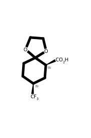 O=C(O)[C@H]1C[C@@H](C(F)(F)F)CCC12OCCO2